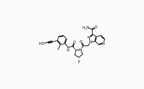 NC(=O)c1nn(CC(=O)N2C[C@H](F)C[C@H]2C(=O)Nc2cccc(C#CO)c2F)c2cnccc12